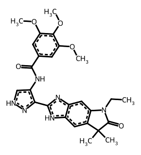 CCN1C(=O)C(C)(C)c2cc3[nH]c(-c4n[nH]cc4NC(=O)c4cc(OC)c(OC)c(OC)c4)nc3cc21